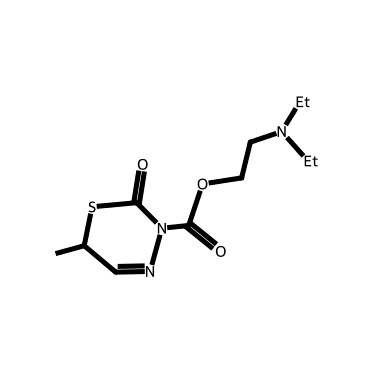 CCN(CC)CCOC(=O)N1N=CC(C)SC1=O